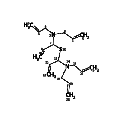 C=CCN(CC=C)C(C=C)SC(C=C)N(CC=C)CC=C